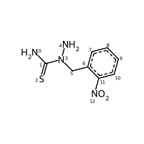 NC(=S)N(N)Cc1ccccc1[N+](=O)[O-]